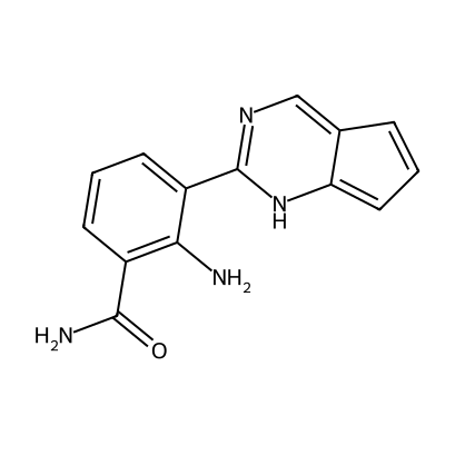 NC(=O)c1cccc(-c2ncc3cccc-3[nH]2)c1N